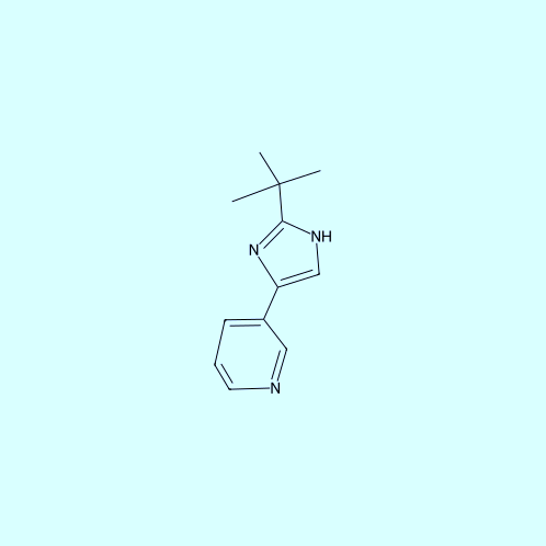 CC(C)(C)c1nc(-c2cccnc2)c[nH]1